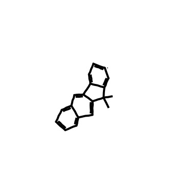 CC1(C)c2c[c]ccc2-c2cc3ccccc3cc21